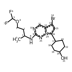 CC(CCOC(F)F)Nc1ncc2c(Br)cc(C3CCC(O)CC3)n2n1